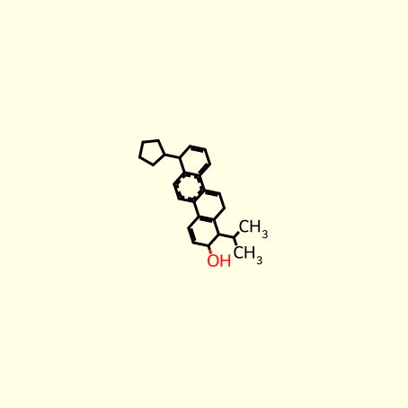 CC(C)C1C2=C(C=CC1O)c1ccc3c(c1=CC2)=CC=CC3C1CCCC1